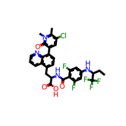 CCC(Nc1cc(F)c(C(=O)NC(Cc2ccc(-c3cc(Cl)c(C)n(C)c3=O)c3ncccc23)C(=O)O)c(F)c1)C(F)(F)F